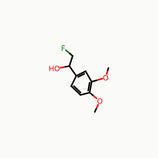 COc1ccc(C(O)CF)cc1OC